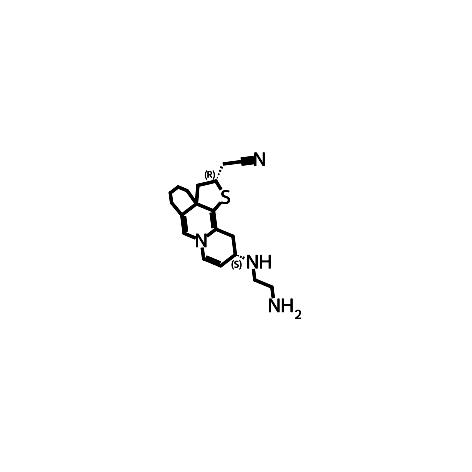 N#CC[C@H]1CC23CCCCC2=CN2C=C[C@@H](NCCN)CC2=C3S1